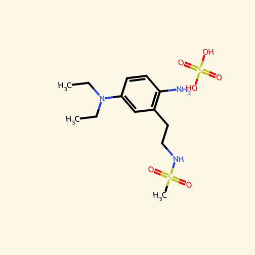 CCN(CC)c1ccc(N)c(CCNS(C)(=O)=O)c1.O=S(=O)(O)O